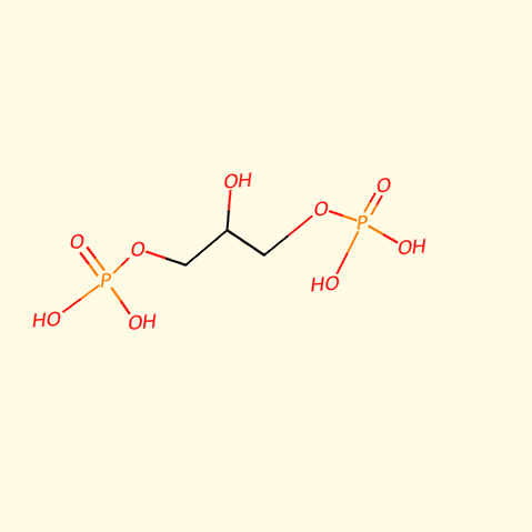 O=P(O)(O)OCC(O)COP(=O)(O)O